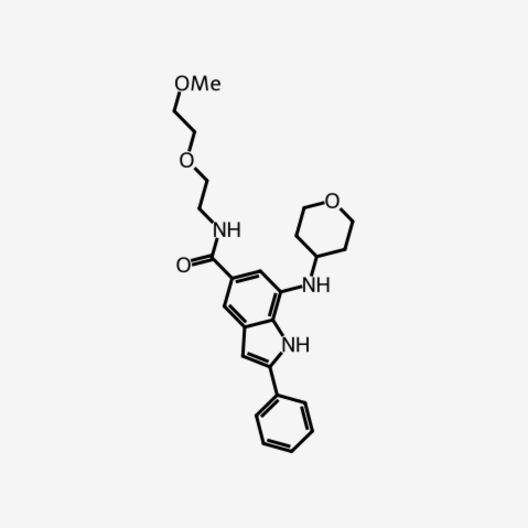 COCCOCCNC(=O)c1cc(NC2CCOCC2)c2[nH]c(-c3ccccc3)cc2c1